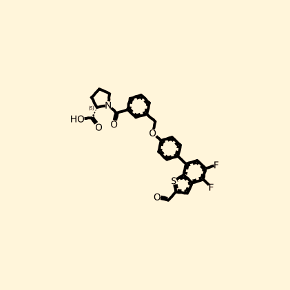 O=Cc1cc2c(F)c(F)cc(-c3ccc(OCc4cccc(C(=O)N5CCC[C@H]5C(=O)O)c4)cc3)c2s1